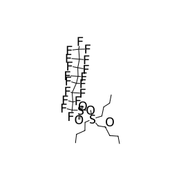 CCCCS(CCCC)(CC(=O)CCC)OS(=O)(=O)C(F)(F)C(F)(F)C(F)(F)C(F)(F)C(F)(F)C(F)(F)C(F)(F)C(F)(F)F